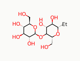 CC[C@@H]1O[C@H](CO)C(O[C@@H]2O[C@H](CO)[C@@H](O)[C@H](O)[C@H]2O)[C@H](O)[C@H]1O